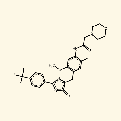 COc1cc(NC(=O)CN2CCOCC2)c(Cl)cc1Cn1nc(-c2ccc(C(F)(F)F)cc2)oc1=O